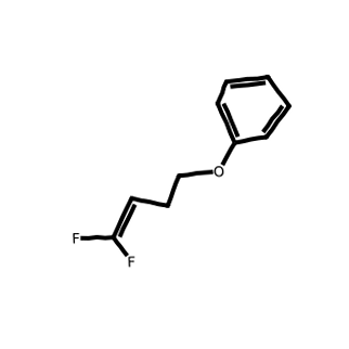 FC(F)=CCCOc1ccccc1